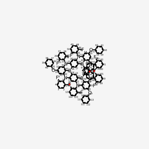 Fc1cccc(F)c1N1c2cc3c(cc2B2c4cc5c(cc4N(c4c(F)cccc4F)c4cc(Oc6ccccc6)cc1c42)N(c1c(F)cccc1F)c1cc(Oc2ccccc2)cc2c1B5c1sc4ccccc4c1N2c1c(F)cccc1F)B1c2sc4ccccc4c2N(c2c(F)cccc2F)c2cc(Oc4ccccc4)cc(c21)N3c1c(F)cccc1F